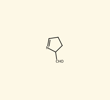 O=CC1CCC=N1